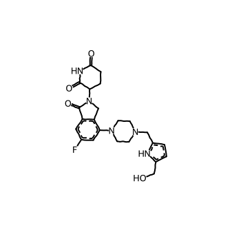 O=C1CCC(N2Cc3c(cc(F)cc3N3CCN(Cc4ccc(CO)[nH]4)CC3)C2=O)C(=O)N1